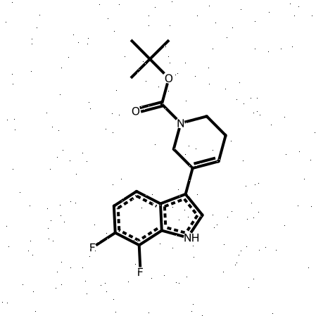 CC(C)(C)OC(=O)N1CCC=C(c2c[nH]c3c(F)c(F)ccc23)C1